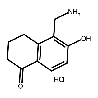 Cl.NCc1c(O)ccc2c1CCCC2=O